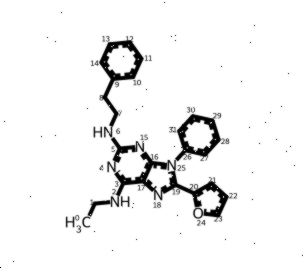 CCNc1nc(NCCc2ccccc2)nc2c1nc(-c1ccco1)n2-c1ccccc1